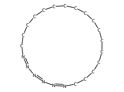 C1CCCCCCCCN=NN=NN=NCCCCCCCC1